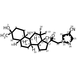 C[C@@]1(O)CC[C@H]2[C@H](CC[C@@H]3[C@@H]2CC(F)(F)[C@]2(C)[C@@H](C(=O)Cn4cc(C#N)cn4)CC[C@@H]32)C1